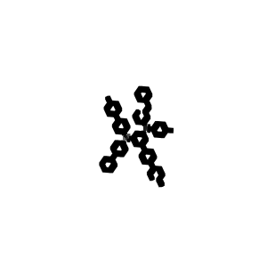 C=C/C=C\C(=C/C)c1ccc(-c2cc(N(C(/C=C\C)=C/C=C/c3ccccc3)c3ccc(C)cc3)cc(N(c3ccc(C4=CCCC=C4)cc3)c3ccc(-c4ccc(C)cc4)cc3)c2)cc1